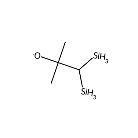 CC(C)([O])C([SiH3])[SiH3]